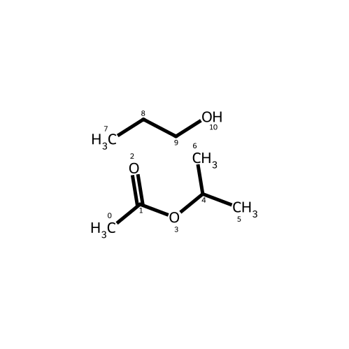 CC(=O)OC(C)C.CCCO